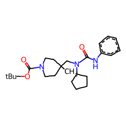 CC1(CN(C(=O)Nc2ccccc2)C2CCCC2)CCN(C(=O)OC(C)(C)C)CC1